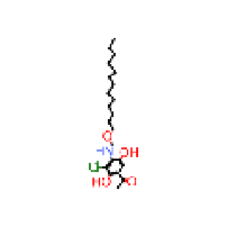 CCCCCCCCCCCCCOCNc1c(O)cc(C(C)=O)c(O)c1Cl